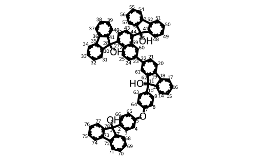 OC1(c2ccc(Oc3ccc(C4(O)c5ccccc5-c5ccc(-c6ccc7c(C8(O)c9ccccc9-c9ccccc98)ccc(C8(O)c9ccccc9-c9ccccc98)c7c6)cc54)cc3)cc2)c2ccccc2-c2ccccc21